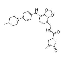 CC1CCN(c2ccc(Nc3ccc(CNC(=O)C4CC(=O)N(C)C4)c4c3OCO4)cc2)CC1